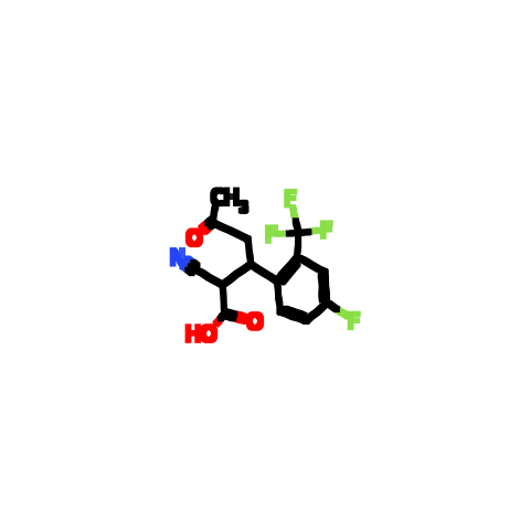 CC(=O)CC(c1ccc(F)cc1C(F)(F)F)C(C#N)C(=O)O